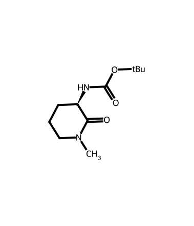 CN1CCC[C@@H](NC(=O)OC(C)(C)C)C1=O